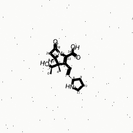 C[C@@H](O)[C@@]1(C)C(C=C[C@@H]2CCCN2)=C(C(=O)O)N2C(=O)C[C@@H]21